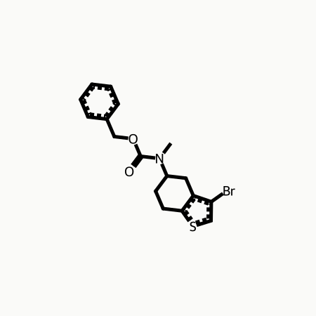 CN(C(=O)OCc1ccccc1)C1CCc2scc(Br)c2C1